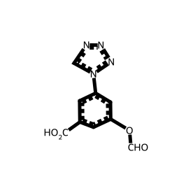 O=COc1cc(C(=O)O)cc(-n2cnnn2)c1